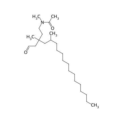 CCCCCCCCCCCCCC(C)CC(C)(CC=O)CCN(C)C(C)=O